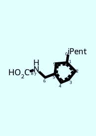 CCCC(C)c1cccc(CNC(=O)O)c1